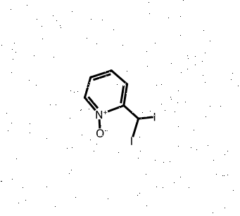 [O-][n+]1ccccc1C(I)I